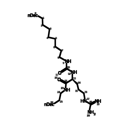 CCCCCCCCCCCCCCCCCCNC(=O)N[C@@H](CCCNC(=N)N)C(=O)NCCCCCCCCCCCC